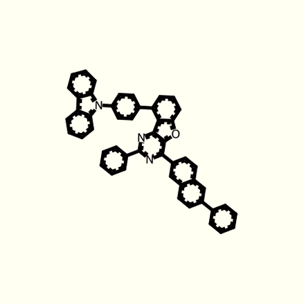 c1ccc(-c2ccc3cc(-c4nc(-c5ccccc5)nc5c4oc4cccc(-c6ccc(-n7c8ccccc8c8ccccc87)cc6)c45)ccc3c2)cc1